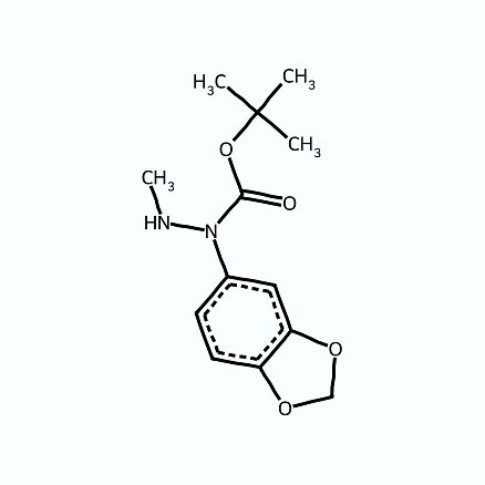 CNN(C(=O)OC(C)(C)C)c1ccc2c(c1)OCO2